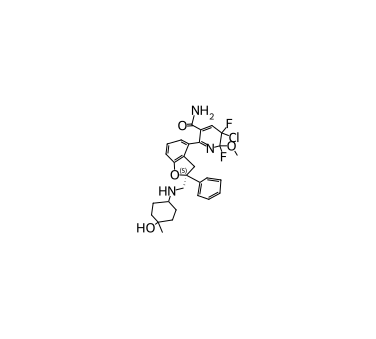 COC1(F)N=C(c2cccc3c2C[C@@](CNC2CCC(C)(O)CC2)(c2ccccc2)O3)C(C(N)=O)=CC1(F)Cl